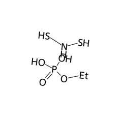 CCOP(=O)(O)O.SNS